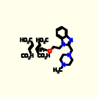 CCCOCCn1c(CN2CCN(C)CC2)nc2ccccc21.O=C(O)C=CC(=O)O.O=C(O)C=CC(=O)O